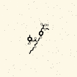 CCCCCOCCN(CCOc1ccc(CC(OCC)C(=O)O)cc1)C(=O)Nc1cc(C)ccc1OC